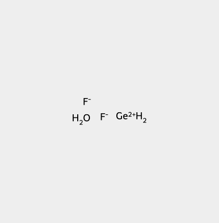 O.[F-].[F-].[GeH2+2]